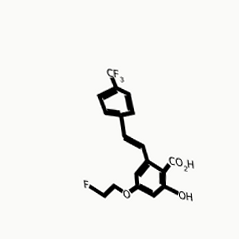 O=C(O)c1c(O)cc(OCCF)cc1C=Cc1ccc(C(F)(F)F)cc1